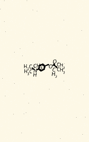 CC(C)(C)Nc1ccc(COC(=O)C(C)(C)C)cc1